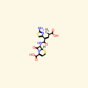 CC(/C=C(/C(=O)N[C@@H]1C(=O)N2C(C(=O)O)=CCS[C@H]12)c1csc(N)n1)C(=O)O